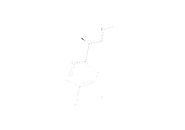 CC(C)(C)NC[C@H](O)c1cc(Cl)c(N)nn1